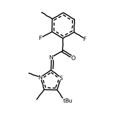 Cc1ccc(F)c(C(=O)/N=c2\sc(C(C)(C)C)c(C)n2C)c1F